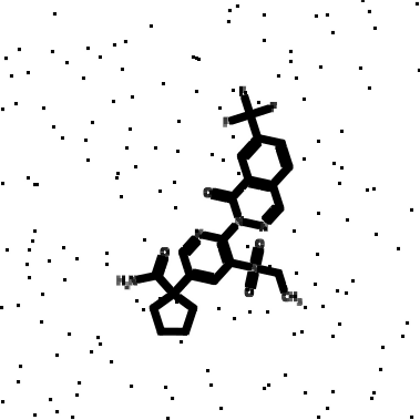 CCS(=O)(=O)c1cc(C2(C(N)=O)CCCC2)cnc1-n1ncc2ccc(C(F)(F)F)cc2c1=O